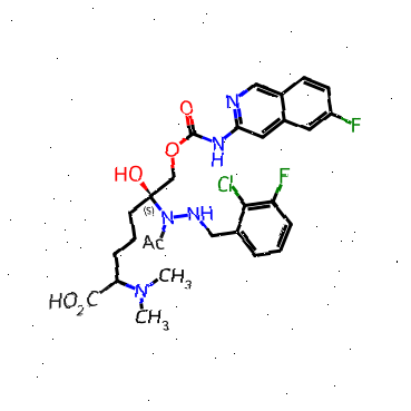 CC(=O)N(NCc1cccc(F)c1Cl)[C@](O)(CCCC(C(=O)O)N(C)C)COC(=O)Nc1cc2cc(F)ccc2cn1